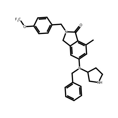 Cc1cc(N(Cc2ccccc2)C2CCNC2)cc2c1C(=O)N(Cc1ccc(OC(F)(F)F)cc1)C2